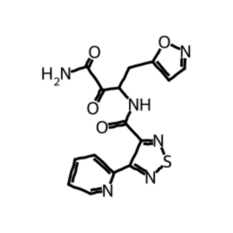 NC(=O)C(=O)C(Cc1ccno1)NC(=O)c1nsnc1-c1ccccn1